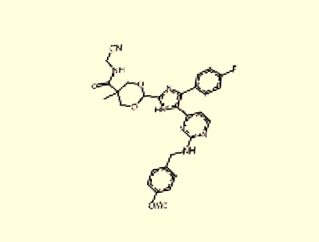 COc1ccc(CNc2nccc(-c3[nH]c(C4OCC(C)(C(=O)NCC#N)CO4)nc3-c3ccc(F)cc3)n2)cc1